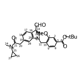 COc1cc(C(=O)OC(C)(C)C)ccc1Cn1cc(C=O)c2ccc(CC(=O)N(C)C3CC3)cc21